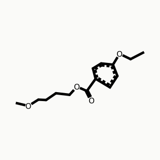 CCOc1ccc(C(=O)OCCCCOC)cc1